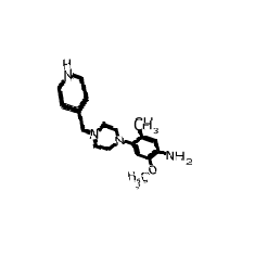 COc1cc(N2CCN(CC3CCNCC3)CC2)c(C)cc1N